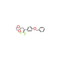 FC(F)=C(CC1OCCO1)c1ccc(OCc2ccccc2)cc1